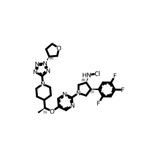 C[C@H](Oc1cnc(N2C[C@H](NCl)[C@@H](c3cc(F)c(F)cc3F)C2)nc1)C1CCN(c2nnn([C@@H]3CCOC3)n2)CC1